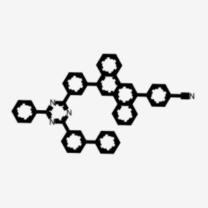 N#Cc1ccc(-c2cc3c4ccccc4c(-c4cccc(-c5nc(-c6ccccc6)nc(-c6cccc(-c7ccccc7)c6)n5)c4)cc3c3ccccc23)cc1